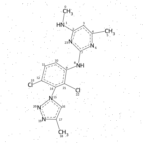 CNc1cc(C)nc(Nc2ccc(Cl)c(-n3cc(C)nn3)c2Cl)n1